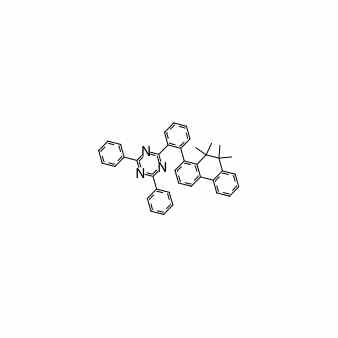 CC1(C)c2ccccc2-c2cccc(-c3ccccc3-c3nc(-c4ccccc4)nc(-c4ccccc4)n3)c2C1(C)C